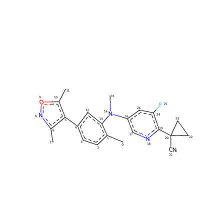 Cc1ccc(-c2c(C)noc2C)cc1N(C)c1cnc(C2(C#N)CC2)c(F)c1